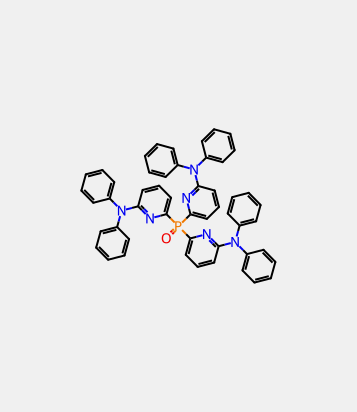 O=P(c1cccc(N(c2ccccc2)c2ccccc2)n1)(c1cccc(N(c2ccccc2)c2ccccc2)n1)c1cccc(N(c2ccccc2)c2ccccc2)n1